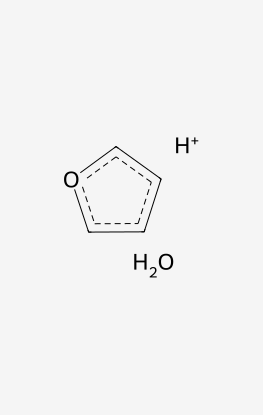 O.[H+].c1ccoc1